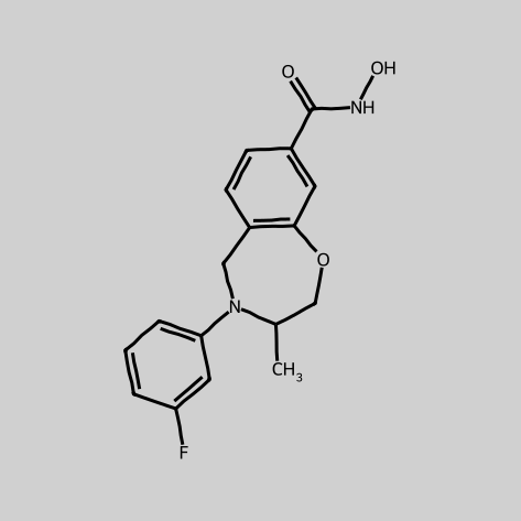 CC1COc2cc(C(=O)NO)ccc2CN1c1cccc(F)c1